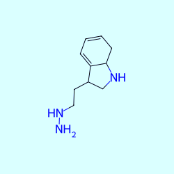 NNCCC1CNC2CC=CC=C12